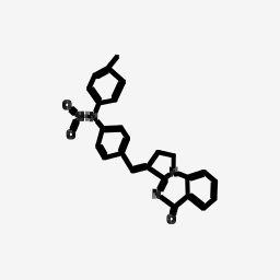 Cc1ccc(N(c2ccc(/C=C3\CCn4c3nc(=O)c3ccccc34)cc2)[SH](=O)=O)cc1